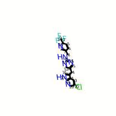 FC(F)(F)c1ccc(CNc2ncc(Cc3c[nH]c4ncc(Cl)cc34)cn2)cn1